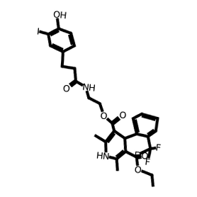 CCOC(=O)C1=C(C)NC(C)=C(C(=O)OCCNC(=O)CCc2ccc(O)c(I)c2)C1c1ccccc1C(F)(F)F